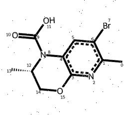 Cc1nc2c(cc1Br)N(C(=O)O)[C@@H](C)CO2